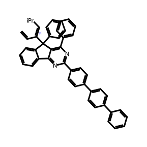 C=C/C(=C\C(C)C)C1(c2ccccc2)c2ccccc2-c2nc(-c3ccc(-c4ccc(-c5ccccc5)cc4)cc3)nc(-c3ccccc3)c21